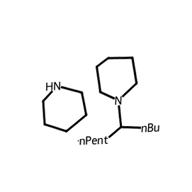 C1CCNCC1.CCCC[CH]C(CCCC)N1CCCCC1